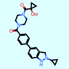 O=C(c1ccc(-c2ccc3c(c2)CN(C2CC2)N3)cc1)N1CCN(C(=O)C2(O)CC2)CC1